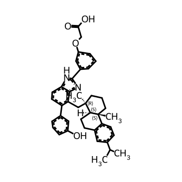 CC(C)c1ccc2c(c1)CC[C@H]1[C@@](C)(Cc3c(-c4cccc(O)c4)ccc4[nH]c(-c5cccc(OCC(=O)O)c5)nc34)CCC[C@]21C